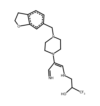 N=C/C(=C\NCC(O)C(F)(F)F)N1CCN(Cc2ccc3c(c2)OCC3)CC1